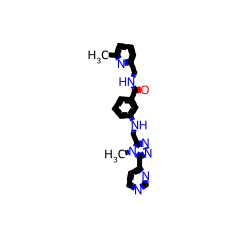 Cc1cccc(CNC(=O)c2cccc(NCc3nnc(-c4ccncn4)n3C)c2)n1